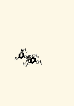 Cc1cc(Br)c[n+](N)c1.Cc1cc(C)c(S(=O)(=O)[O-])c(C)c1